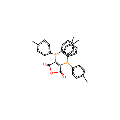 Cc1ccc(P(C2=C(P(c3ccc(C)cc3)c3ccc(C)cc3)C(=O)OC2=O)c2ccc(C)cc2)cc1